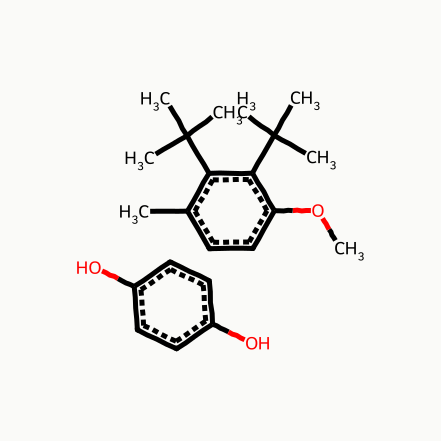 COc1ccc(C)c(C(C)(C)C)c1C(C)(C)C.Oc1ccc(O)cc1